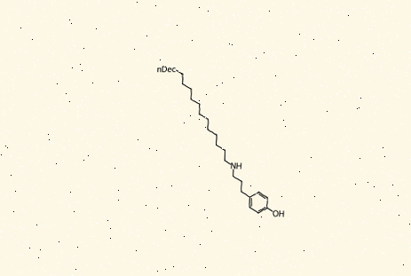 CCCCCCCCCCCCCCCCCCCCCCNCCCc1ccc(O)cc1